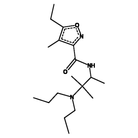 CCCN(CCC)C(C)(C)C(C)NC(=O)c1noc(CC)c1C